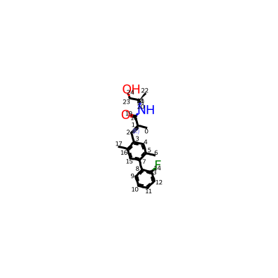 C/C(=C\c1cc(C)c(-c2ccccc2F)cc1C)C(=O)N[C@H](C)CO